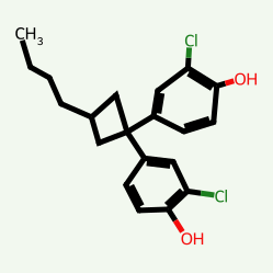 CCCCC1CC(c2ccc(O)c(Cl)c2)(c2ccc(O)c(Cl)c2)C1